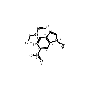 CCOC=O.O=[N+]([O-])c1ccc2ccn(Br)c2c1